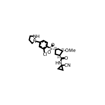 CO[C@H]1C[C@@H](S(=O)(=O)c2ccc(N3CCCN3)cc2Cl)C[C@@H]1C(=O)NC1(C#N)CC1